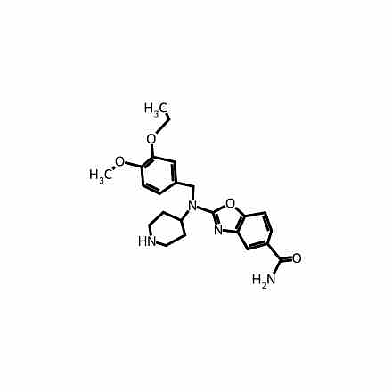 CCOc1cc(CN(c2nc3cc(C(N)=O)ccc3o2)C2CCNCC2)ccc1OC